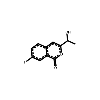 CC(O)c1cc2ccc(F)cc2c(=O)o1